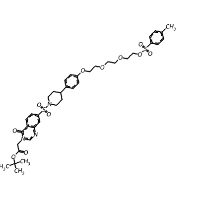 Cc1ccc(S(=O)(=O)OCCOCCOCCOc2ccc(C3CCN(S(=O)(=O)c4ccc5c(=O)n(CC(=O)OC(C)(C)C)cnc5c4)CC3)cc2)cc1